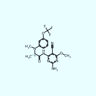 COc1nc(N)nc(NC(=O)[C@H](C)N(C)c2cccc(OC(F)(F)F)c2)c1C#N